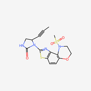 CC#CC1CNC(=O)N1c1nc2c3c(ccc2s1)OCCN3S(C)(=O)=O